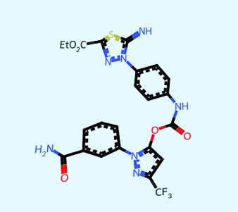 CCOC(=O)c1nn(-c2ccc(NC(=O)Oc3cc(C(F)(F)F)nn3-c3cccc(C(N)=O)c3)cc2)c(=N)s1